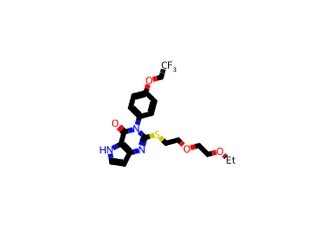 CCOCCOCCSc1nc2cc[nH]c2c(=O)n1-c1ccc(OCC(F)(F)F)cc1